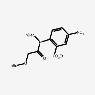 CCCCCCCCCCN(C(=O)COCCCC)c1ccc([N+](=O)[O-])cc1C(=O)OCC